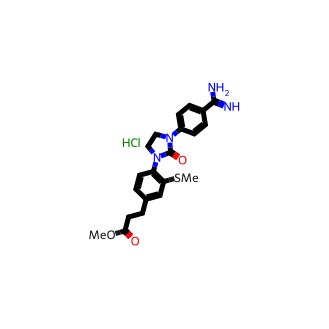 COC(=O)CCc1ccc(N2CCN(c3ccc(C(=N)N)cc3)C2=O)c(SC)c1.Cl